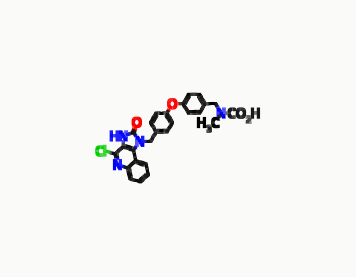 CN(Cc1ccc(Oc2ccc(Cn3c(=O)[nH]c4c(Cl)nc5ccccc5c43)cc2)cc1)C(=O)O